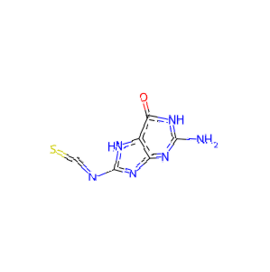 Nc1nc2nc(N=C=S)[nH]c2c(=O)[nH]1